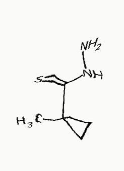 CC1(C(=S)NN)CC1